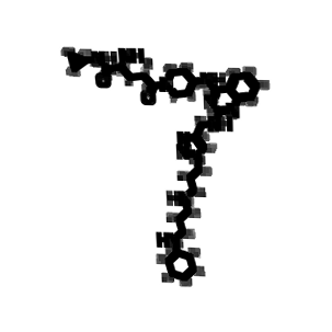 N[C@@H](CCC(=O)N1CCC(Nc2nc(NCc3cn(CCCNCCCNC4CCCCC4)nn3)nc3ccccc23)CC1)C(=O)NC1CC1